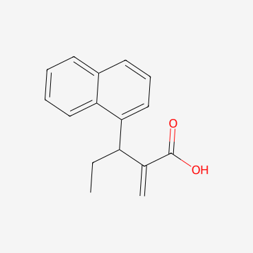 C=C(C(=O)O)C(CC)c1cccc2ccccc12